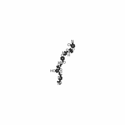 Cc1ncsc1-c1ccc([C@H](C)CC(=O)[C@@H]2C[C@@H](O)CC2C(=O)[C@@H](CC(=O)CNC(=O)c2ccc(Oc3ccc(C(=O)N[C@H]4C(C)(C)[C@H](Oc5ccc(C#N)c(Cl)c5)C4(C)C)cn3)cc2)C(C)(C)C)nc1